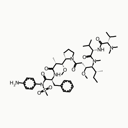 CC[C@@H](C)[C@@H]([C@@H](CC(=O)N1CCC[C@H]1[C@H](OC)[C@@H](C)C(=O)N[C@@H](Cc1ccccc1)C(=O)N(c1ccc(N)cc1)S(C)(=O)=O)OC)N(C)C(=O)[C@@H](NC(=O)[C@H](C(C)C)N(C)C)C(C)C